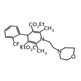 CCOC(=O)C1=C(C)N(CCN2CCOCC2)C(C)=C(C(=O)OCC)C1c1ccccc1C(F)(F)F